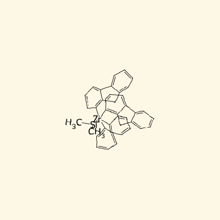 C[Si](C)=[Zr]([c]1ccccc1)([c]1ccccc1)([c]1cccc2c1Cc1ccccc1-2)[c]1cccc2c1Cc1ccccc1-2